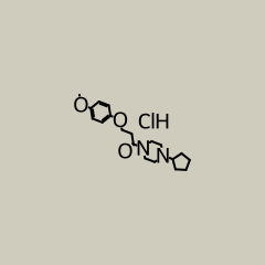 COc1ccc(OCCC(=O)N2CCN(C3CCCC3)CC2)cc1.Cl